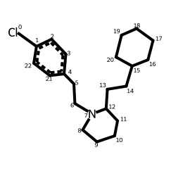 Clc1ccc(CCN2CCCCC2CCC2CCCCC2)cc1